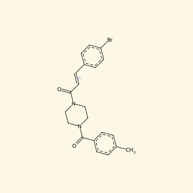 Cc1ccc(C(=O)N2CCN(C(=O)/C=C/c3ccc(Br)cc3)CC2)cc1